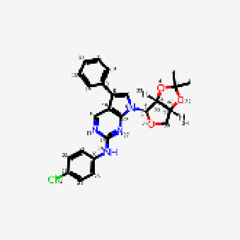 CC1(C)O[C@H]2[C@H](n3cc(-c4ccccc4)c4cnc(Nc5ccc(Cl)cc5)nc43)OC[C@H]2O1